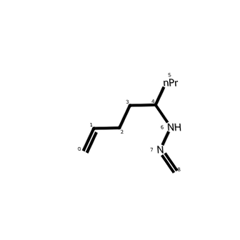 C=CCCC(CCC)NN=C